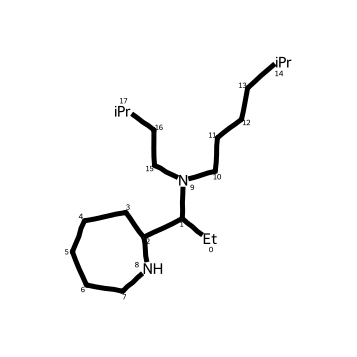 [CH2]CC(C1CCCCCN1)N(CCCCC(C)C)CCC(C)C